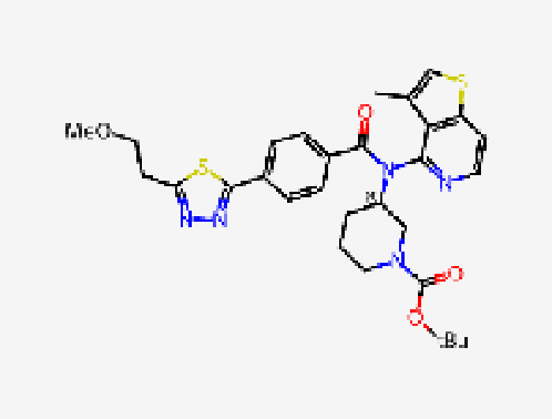 COCCc1nnc(-c2ccc(C(=O)N(c3nccc4scc(C)c34)[C@@H]3CCCN(C(=O)OC(C)(C)C)C3)cc2)s1